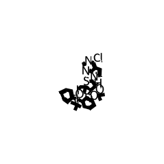 CC1(C)O[C@H]2[C@H](n3ccc4c(Cl)ncnc43)SC(CI)(CO[Si](c3ccccc3)(c3ccccc3)C(C)(C)C)[C@H]2O1